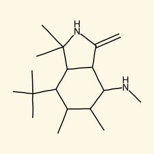 C=C1NC(C)(C)C2C1C(NC)C(C)C(C)C2C(C)(C)C